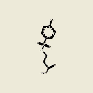 COC(=O)CCNS(=O)(=O)c1ccc(C#N)cc1